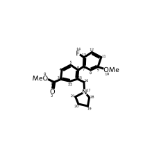 COC(=O)c1ccc(-c2cc(OC)ccc2F)c(CN2CCCC2)c1